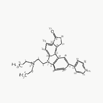 CCN(CC)CCn1c2ccc(-c3ccncc3)cc2c2c3c(ccc21)C(=O)CC3